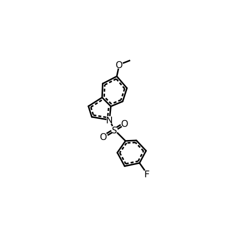 COc1ccc2c(ccn2S(=O)(=O)c2ccc(F)cc2)c1